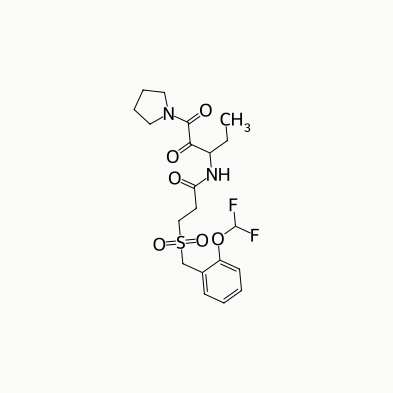 CCC(NC(=O)CCS(=O)(=O)Cc1ccccc1OC(F)F)C(=O)C(=O)N1CCCC1